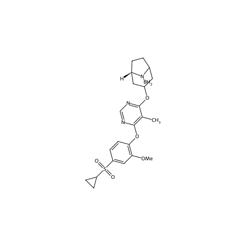 BN1C2CC[C@H]1CC(Oc1ncnc(Oc3ccc(S(=O)(=O)C4CC4)cc3OC)c1C)C2